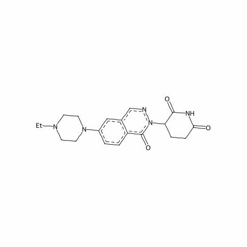 CCN1CCN(c2ccc3c(=O)n(C4CCC(=O)NC4=O)ncc3c2)CC1